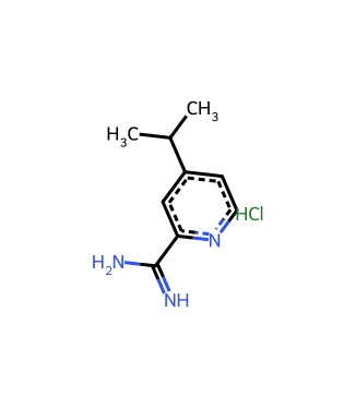 CC(C)c1ccnc(C(=N)N)c1.Cl